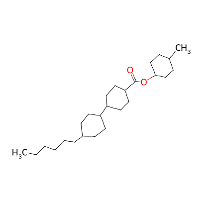 CCCCCCC1CCC(C2CCC(C(=O)OC3CCC(C)CC3)CC2)CC1